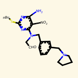 CCCCSc1nc(N)c([N+](=O)[O-])c(N(CC=O)Cc2cccc(CN3CCCC3)c2)n1